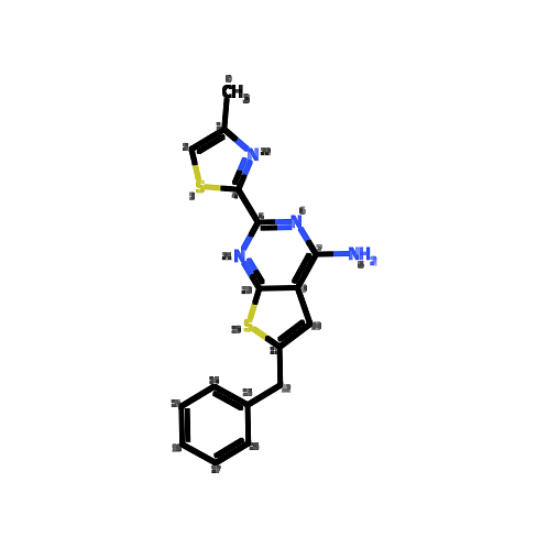 Cc1csc(-c2nc(N)c3cc(Cc4ccccc4)sc3n2)n1